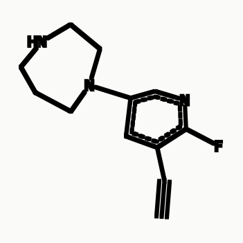 C#Cc1cc(N2CCCNCC2)cnc1F